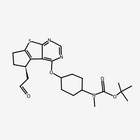 CN(C(=O)OC(C)(C)C)C1CCC(Oc2ncnc3sc4c(c23)[C@@H](CC=O)CC4)CC1